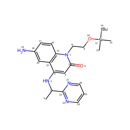 CC(Nc1cc(=O)n(CCO[Si](C)(C)C(C)(C)C)c2ccc(N)cc12)c1ncccn1